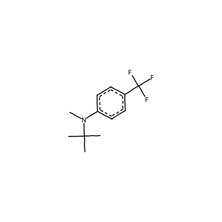 CN(c1ccc(C(F)(F)F)cc1)C(C)(C)C